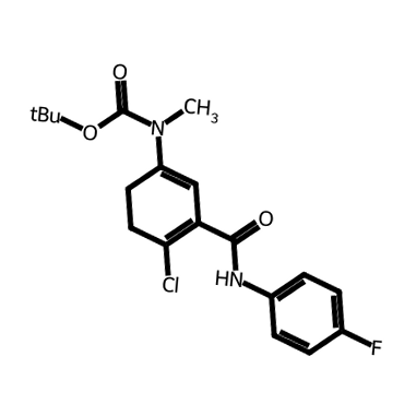 CN(C(=O)OC(C)(C)C)C1=CC(C(=O)Nc2ccc(F)cc2)=C(Cl)CC1